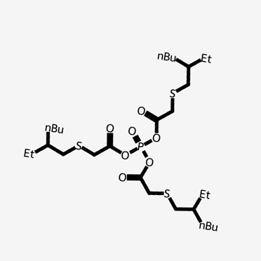 CCCCC(CC)CSCC(=O)OP(=O)(OC(=O)CSCC(CC)CCCC)OC(=O)CSCC(CC)CCCC